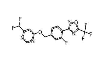 Fc1cc(COc2cc(C(F)F)ncn2)ccc1-c1noc(C(F)(F)F)n1